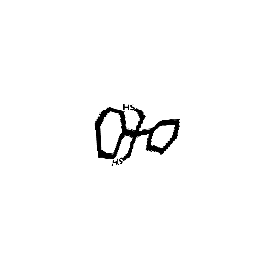 SCC(CS)(C1CCCCC1)C1CCCCC1